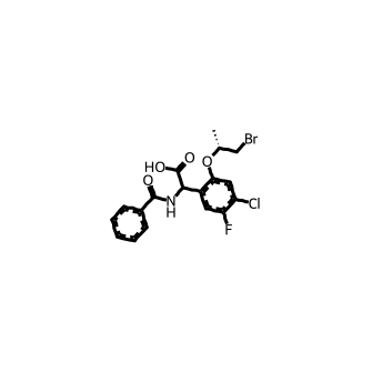 C[C@H](CBr)Oc1cc(Cl)c(F)cc1C(NC(=O)c1ccccc1)C(=O)O